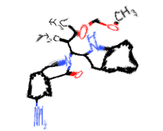 C=C(C(C)OCOC)C(C1Cc2ccccc2N1)N1Cc2ccc(N)cc2C1=O